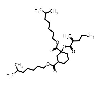 C=C(CCC)C(=O)OC1(C(=O)OCCCCCC(C)C)CCCC(C(=O)OCCCCCC(C)C)C1